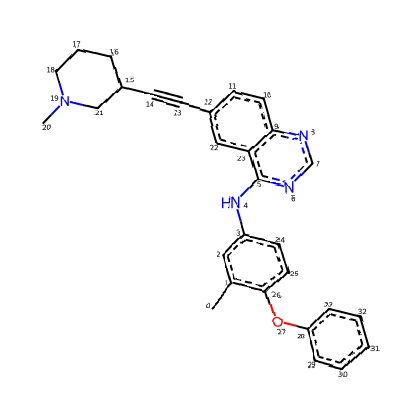 Cc1cc(Nc2ncnc3ccc(C#CC4CCCN(C)C4)cc23)ccc1Oc1ccccc1